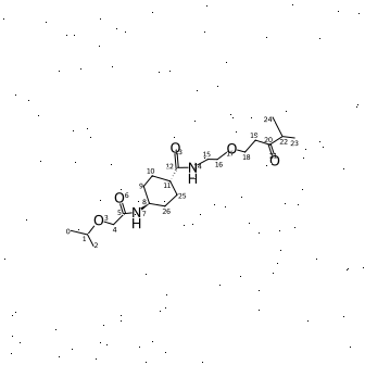 CC(C)OCC(=O)N[C@H]1CC[C@H](C(=O)NCCOCCC(=O)C(C)C)CC1